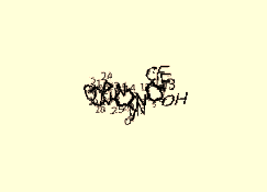 Cc1nn(-c2cc(O)c(F)c(C(F)(F)F)c2)c2cnc(N3CCOCC34CC4)cc12